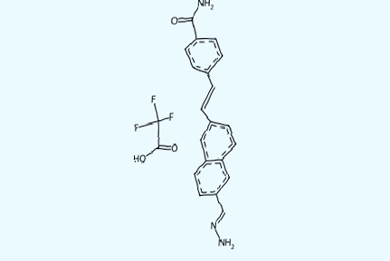 NN=Cc1ccc2cc(C=Cc3ccc(C(N)=O)cc3)ccc2c1.O=C(O)C(F)(F)F